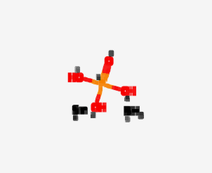 O=P(O)(O)O.[BiH3].[Sm]